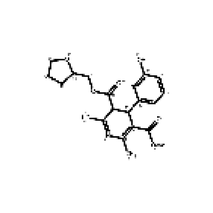 COC(=O)C1=C(C)N=C(C)C(C(=O)OCC2CCCO2)C1c1cccc(O)c1